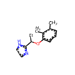 CCC(Oc1cccc(C)c1C)c1ncc[nH]1